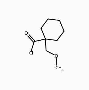 COCC1(C(=O)Cl)CCCCC1